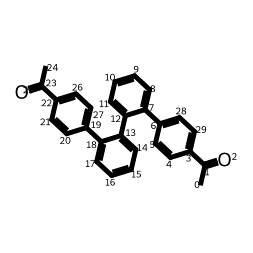 CC(=O)c1ccc(-c2ccccc2-c2ccccc2-c2ccc(C(C)=O)cc2)cc1